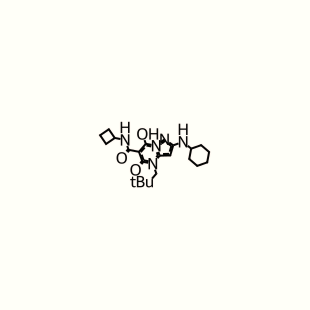 CC(C)(C)Cn1c(=O)c(C(=O)NC2CCC2)c(O)n2nc(NC3CCCCC3)cc12